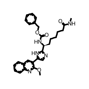 CNC(=O)CCCCC[C@H](NC(=O)OCc1ccccc1)c1ncc(-c2cc3ccccc3nc2OC)[nH]1